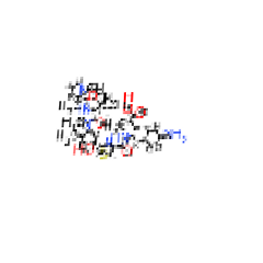 CC[C@H](C)[C@H](NC(=O)[C@@]1(C)CCCN1C)C(=O)N(C)C(C[C@@H](O)c1nc(C(=O)N[C@@H](Cc2ccc(N)cc2)C[C@H](C)C(=O)O)cs1)C(C)C